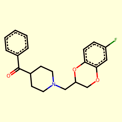 O=C(c1ccccc1)C1CCN(CC2COc3cc(F)ccc3O2)CC1